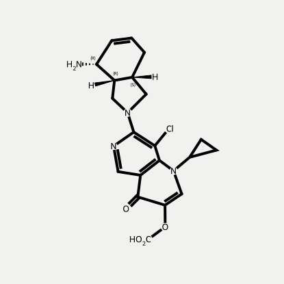 N[C@@H]1C=CC[C@@H]2CN(c3ncc4c(=O)c(OC(=O)O)cn(C5CC5)c4c3Cl)C[C@@H]21